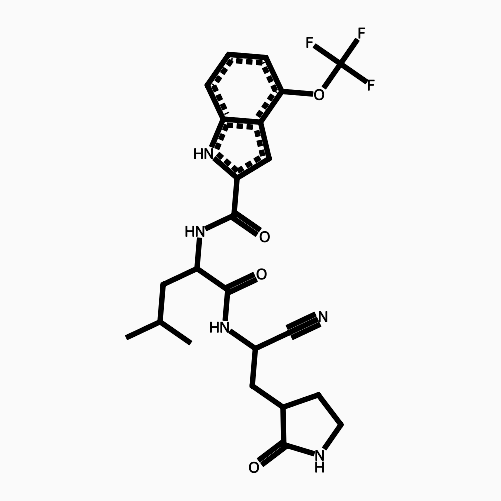 CC(C)CC(NC(=O)c1cc2c(OC(F)(F)F)cccc2[nH]1)C(=O)NC(C#N)CC1CCNC1=O